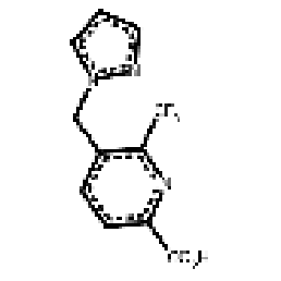 O=C(O)c1ccc(Cn2cccn2)c(C(F)(F)F)n1